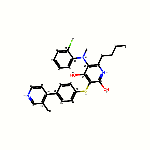 CCCCc1nc(O)c(Sc2ccc(-c3ccncc3C)cc2)c(O)c1N(C)c1ccccc1F